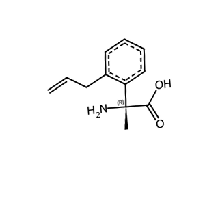 C=CCc1ccccc1[C@@](C)(N)C(=O)O